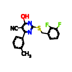 Cc1cccc(-c2nc(SCc3cccc(F)c3F)nc(O)c2C#N)c1